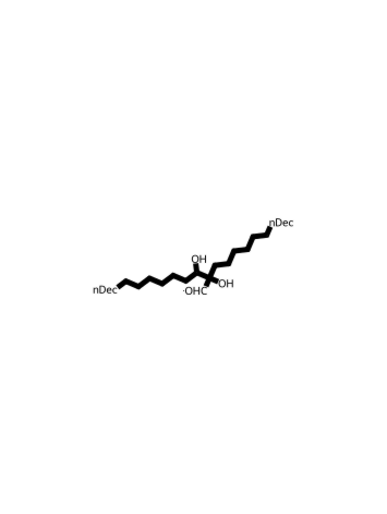 CCCCCCCCCCCCCCCCC(O)C(O)([C]=O)CCCCCCCCCCCCCCCC